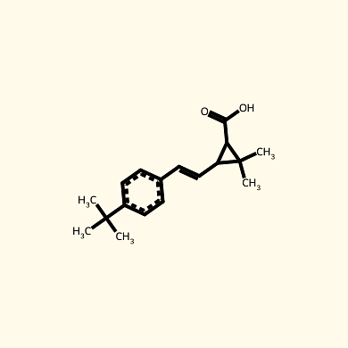 CC(C)(C)c1ccc(C=CC2C(C(=O)O)C2(C)C)cc1